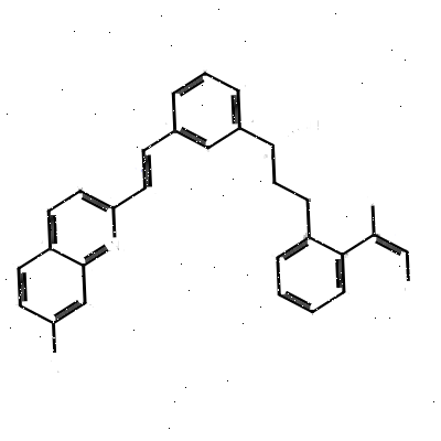 C/C=C(/O)c1ccccc1CC[C@@H](S)c1cccc(/C=C/c2ccc3ccc(Cl)cc3n2)c1